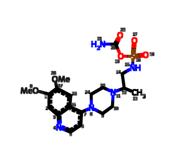 COc1cc2nccc(N3CCN(C(C)CNS(=O)(=O)OC(N)=O)CC3)c2cc1OC